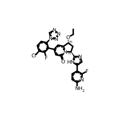 CCO[C@@H]1C[C@@H](c2ncc(-c3ccc(N)nc3F)[nH]2)n2c1cc(-c1c(-n3cnnn3)ccc(Cl)c1F)cc2=O